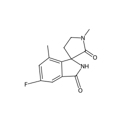 Cc1cc(F)cc2c1C1(CCN(C)C1=O)NC2=O